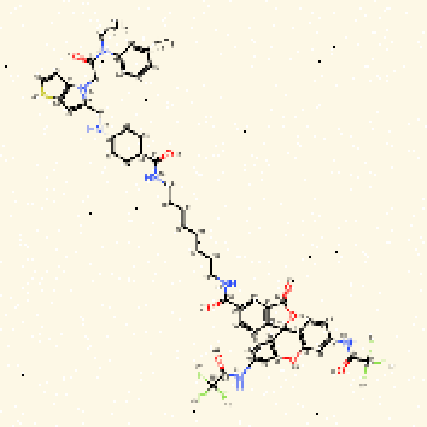 CCN(C(=O)Cn1c(CN[C@H]2CC[C@H](C(=O)NCCCCCCCCNC(=O)c3ccc4c(c3)C(=O)OC43c4ccc(NC(=O)C(F)(F)F)cc4Oc4cc(NC(=O)C(F)(F)F)ccc43)CC2)cc2sccc21)c1cccc(C)c1